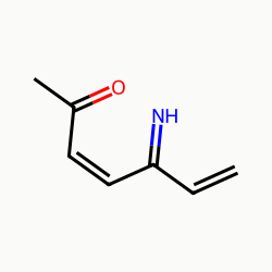 C=CC(=N)/C=C\C(C)=O